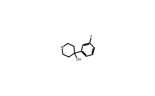 OC1(c2cccc(F)c2)CC[N]CC1